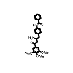 COc1cc(C(=O)CC(N)Cc2ccc(NC(=O)c3ccccc3)cc2)cc(OC)c1OC